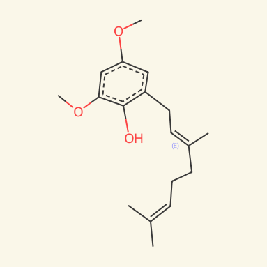 COc1cc(C/C=C(\C)CCC=C(C)C)c(O)c(OC)c1